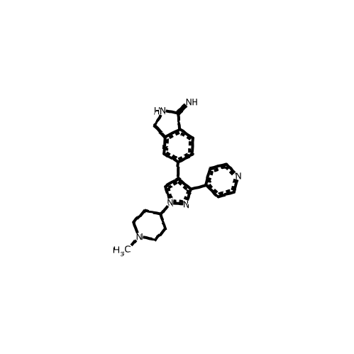 CN1CCC(n2cc(-c3ccc4c(c3)CNC4=N)c(-c3ccncc3)n2)CC1